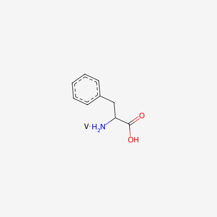 NC(Cc1ccccc1)C(=O)O.[V]